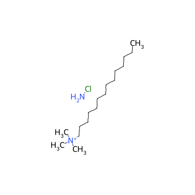 CCCCCCCCCCCCCC[N+](C)(C)C.NCl